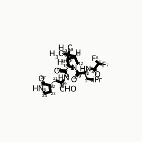 CC(C)C[C@H](NC(=O)C(F)F)C(=O)N1C[C@H]2[C@@H]([C@H]1C(=O)N[C@H](C=O)C[C@@H]1CCNC1=O)C2(C)C